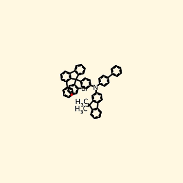 CC1(C)c2ccccc2-c2ccc(N(c3ccc(-c4ccccc4)cc3)c3ccc(C4(c5ccccc5Br)c5ccccc5-c5cccc(-c6ccccc6)c54)cc3)cc21